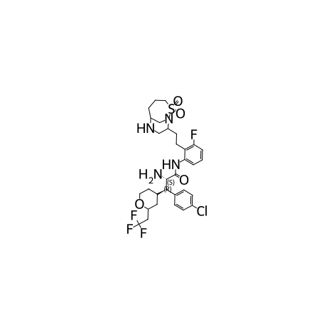 N[C@H](C(=O)Nc1cccc(F)c1CCC1CNC2CCCS(=O)(=O)N1C2)[C@@H](c1ccc(Cl)cc1)C1CCOC(CC(F)(F)F)C1